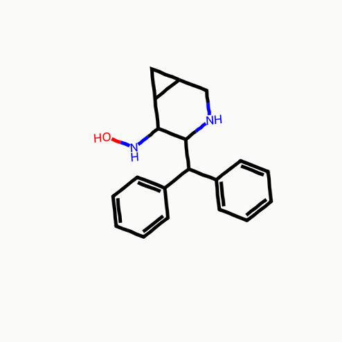 ONC1C2CC2CNC1C(c1ccccc1)c1ccccc1